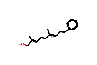 C/C(=C\CC/C(C)=C/CCc1ccccc1)CO